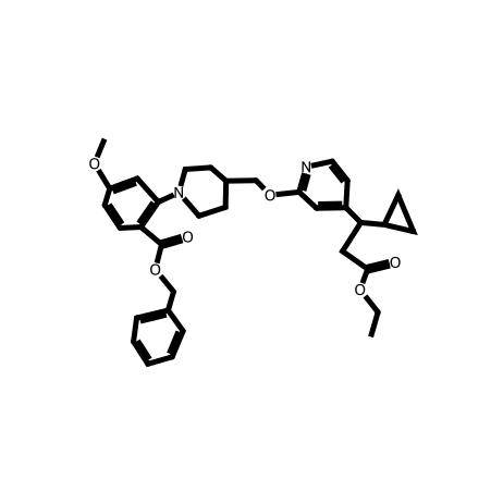 CCOC(=O)CC(c1ccnc(OCC2CCN(c3cc(OC)ccc3C(=O)OCc3ccccc3)CC2)c1)C1CC1